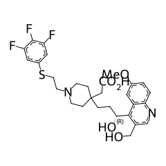 COc1ccc2ncc(CO)c([C@H](O)CCC3(CC(=O)O)CCN(CCSc4cc(F)c(F)c(F)c4)CC3)c2c1